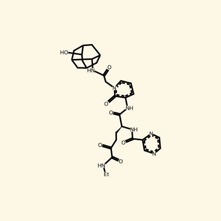 CCNC(=O)C(=O)CC[C@H](NC(=O)c1cnccn1)C(=O)Nc1cccn(CC(=O)NC2C3CC4CC(O)C(C3)CC2C4)c1=O